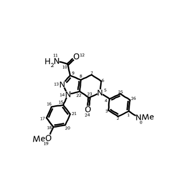 CNc1ccc(N2CCc3c(C(N)=O)nn(-c4ccc(OC)cc4)c3C2=O)cc1